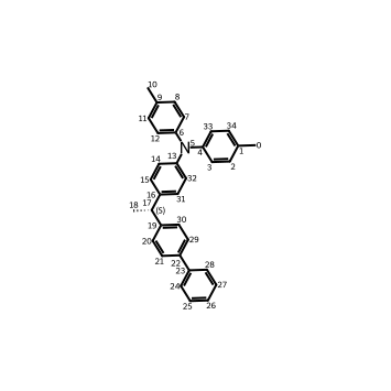 Cc1ccc(N(c2ccc(C)cc2)c2ccc([C@@H](C)c3ccc(-c4ccccc4)cc3)cc2)cc1